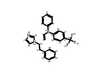 C=CB(c1ccccc1)c1ccc(C(F)(F)F)cc1.c1ccc(CCn2ccnc2)cc1